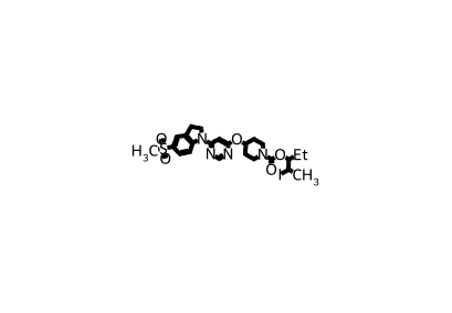 CCC(OC(=O)N1CCC(Oc2cc(N3CCc4cc(S(C)(=O)=O)ccc43)ncn2)CC1)C(C)I